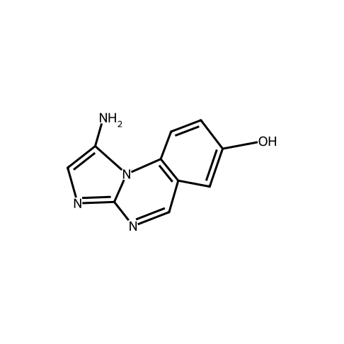 Nc1cnc2ncc3cc(O)ccc3n12